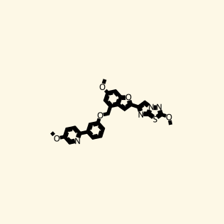 COc1ccc(-c2cccc(OCc3cc(OC)cc4oc(-c5cn6nc(OC)sc6n5)cc34)c2)nc1